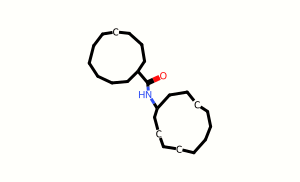 O=C(NC1CCCCCCCCCCC1)C1CCCCCCCCCC1